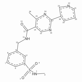 CNS(=O)(=O)c1cccc(CNC(=O)c2cnc(-c3cccnc3)nc2C)c1